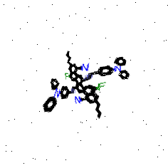 CCCCc1cc(C#N)c2c(c1)c(F)cc1c2cc(/C=C/c2ccc(N(c3ccccc3)c3ccccc3)cc2)c2c3cc(F)c4cc(CCCC)cc(C#N)c4c3cc(/C=C/c3ccc(N(c4ccccc4)c4ccccc4)cc3)c12